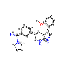 COc1ccccc1-c1c[nH]c2c1C=C(c1cccc(C(=N)N3CCCC3)c1)CN2